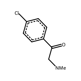 CNCC(=O)c1ccc(Cl)cc1